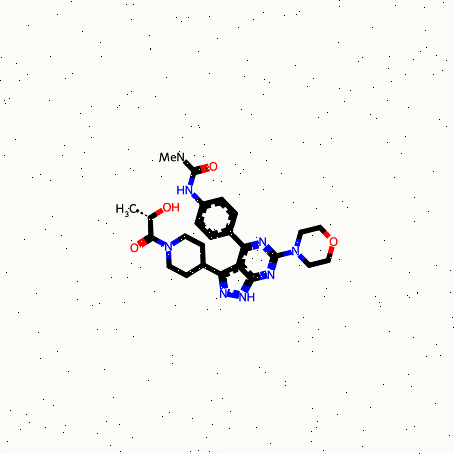 CNC(=O)Nc1ccc(-c2nc(N3CCOCC3)nc3[nH]nc(C4CCN(C(=O)[C@H](C)O)CC4)c23)cc1